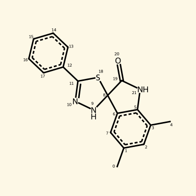 Cc1cc(C)c2c(c1)C1(NN=C(c3ccccc3)S1)C(=O)N2